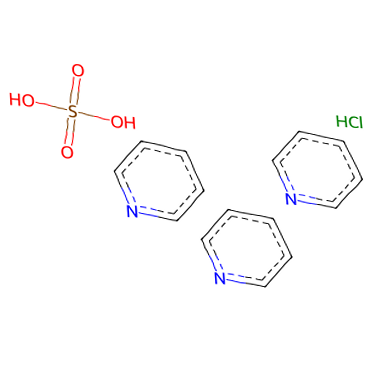 Cl.O=S(=O)(O)O.c1ccncc1.c1ccncc1.c1ccncc1